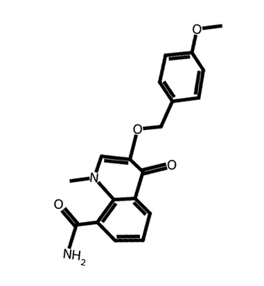 COc1ccc(COc2cn(C)c3c(C(N)=O)cccc3c2=O)cc1